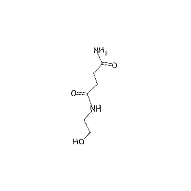 NC(=O)CCC(=O)NCCO